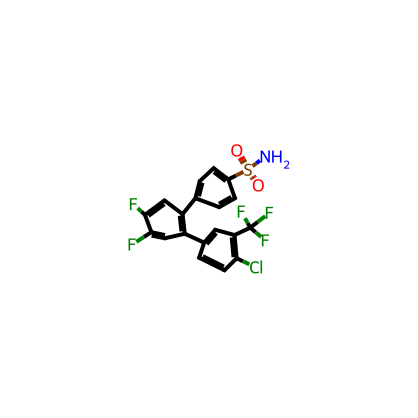 NS(=O)(=O)c1ccc(-c2cc(F)c(F)cc2-c2ccc(Cl)c(C(F)(F)F)c2)cc1